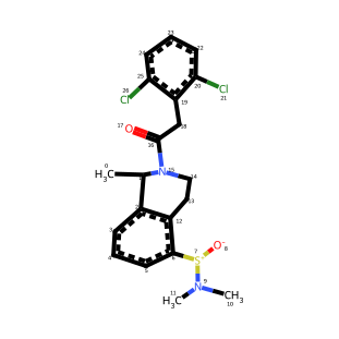 CC1c2cccc([S+]([O-])N(C)C)c2CCN1C(=O)Cc1c(Cl)cccc1Cl